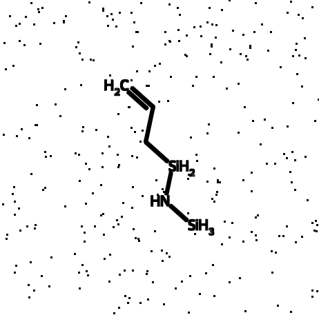 C=CC[SiH2]N[SiH3]